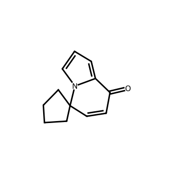 O=C1C=CC2(CCCC2)n2cccc21